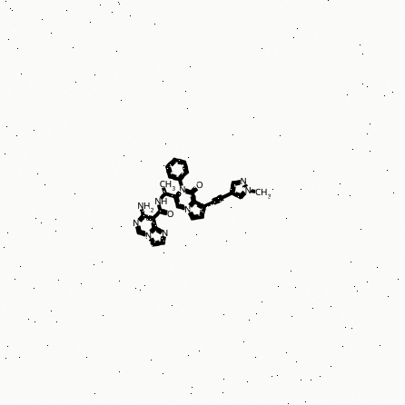 CC(NC(=O)c1c(N)ncn2ccnc12)c1cn2ccc(C#Cc3cnn(C)c3)c2c(=O)n1-c1ccccc1